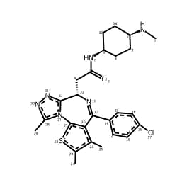 CN[C@H]1CC[C@@H](NC(=O)C[C@@H]2N=C(c3ccc(Cl)cc3)c3c(sc(C)c3C)-n3c(C)nnc32)CC1